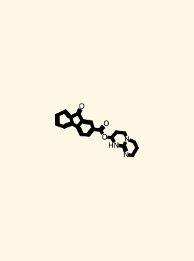 O=C(OC1CCN2CCCN=C2N1)c1ccc2c(c1)C(=O)c1ccccc1-2